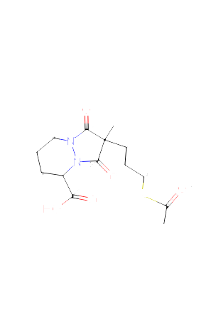 CC(=O)SCCCC1(C)C(=O)N2CCCC(C(=O)O)N2C1=O